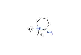 C[N+]1(C)CCCCC1.N